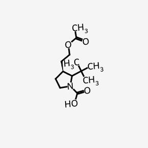 CC(=O)OCC[C@@H]1CCN(C(=O)O)C1C(C)(C)C